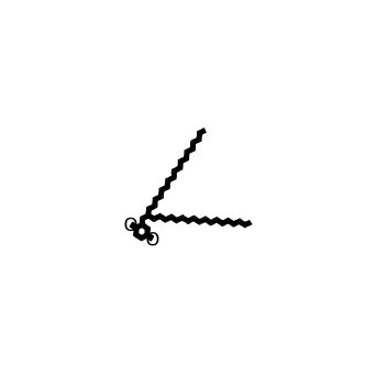 CCCCCCCCCCCCCCCCCCC(CCCCCCCCCCCCCCCCCC)CC1CC(=O)CCC1=O